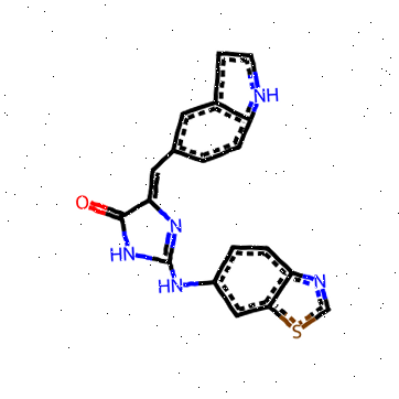 O=C1NC(Nc2ccc3ncsc3c2)=N/C1=C\c1ccc2[nH]ccc2c1